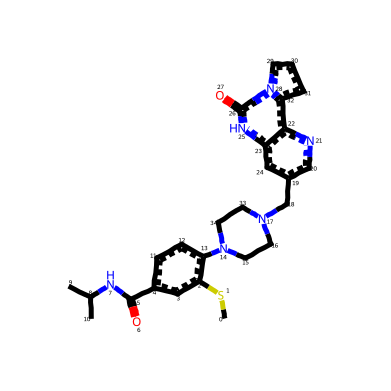 CSc1cc(C(=O)NC(C)C)ccc1N1CCN(Cc2cnc3c(c2)[nH]c(=O)n2cccc32)CC1